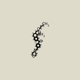 CCCCOC(=O)CC1CCc2ccc(C(=O)c3ccc(C=NN4CCOCC4)cc3)cc2C1N